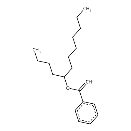 [CH]=C(OC(CCCC)CCCCCCC)c1[c]cccc1